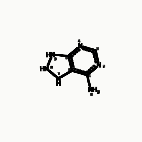 Nc1ncnc2c1NNN2